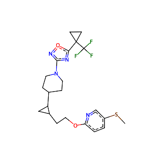 CSc1ccc(OCCC2CC2C2CCN(c3noc(C4(C(F)(F)F)CC4)n3)CC2)nc1